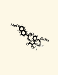 COc1ccc2cc(C(=O)CNC(=O)[C@H](C)[C@@H](OC)C3CC(O)CN3C(=O)OC(C)(C)C)ccc2c1